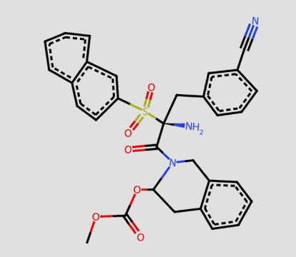 COC(=O)OC1Cc2ccccc2CN1C(=O)[C@@](N)(Cc1cccc(C#N)c1)S(=O)(=O)c1ccc2ccccc2c1